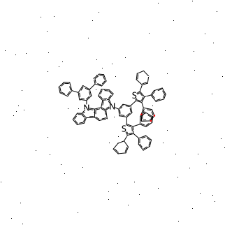 C1=CCC(c2sc(-c3cc(-c4sc(C5=CCCC=C5)c(-c5ccccc5)c4-c4ccccc4)cc(-n4c5ccccc5c5c4ccc4c6ccccc6n(-c6cc(-c7ccccc7)cc(-c7ccccc7)c6)c45)c3)c(-c3ccccc3)c2-c2ccccc2)C=C1